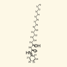 CCCCCCCCCCCCCCCCC(O)CC(=O)Nc1ccccc1